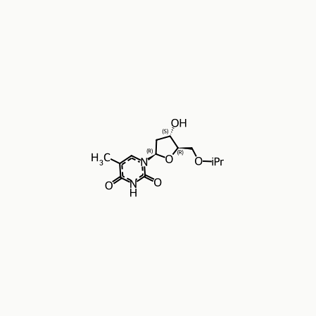 Cc1cn([C@H]2C[C@H](O)[C@@H](COC(C)C)O2)c(=O)[nH]c1=O